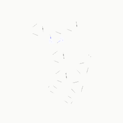 N#Cc1ccc(-c2cccc3c2-c2cc(-c4ccc(-c5nc(C6=CC=CCC6)cc(-c6ccccc6)n5)cc4)ccc2C32c3ccccc3Sc3ccccc32)cc1